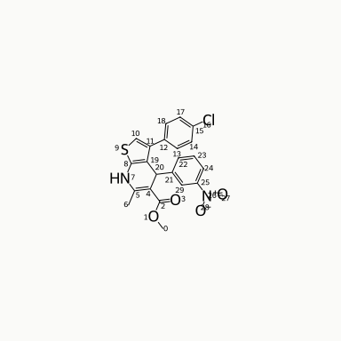 COC(=O)C1=C(C)Nc2scc(-c3ccc(Cl)cc3)c2C1c1cccc([N+](=O)[O-])c1